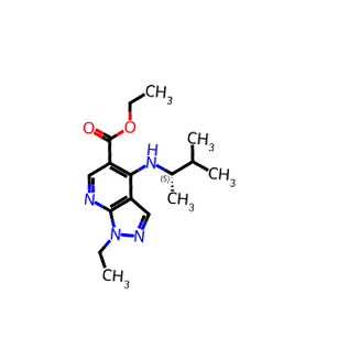 CCOC(=O)c1cnc2c(cnn2CC)c1N[C@@H](C)C(C)C